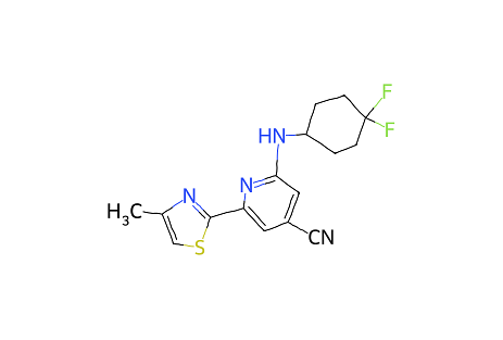 Cc1csc(-c2cc(C#N)cc(NC3CCC(F)(F)CC3)n2)n1